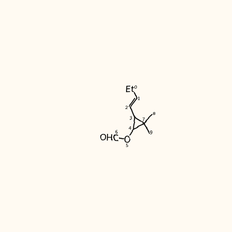 CCC=CC1C(OC=O)C1(C)C